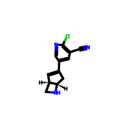 N#Cc1cc(C2=C[C@@H]3CN[C@@H]3C2)cnc1Cl